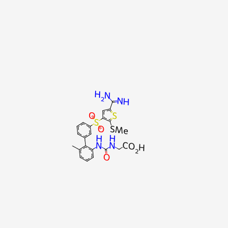 CSc1sc(C(=N)N)cc1S(=O)(=O)c1cccc(-c2c(C)cccc2NC(=O)NCC(=O)O)c1